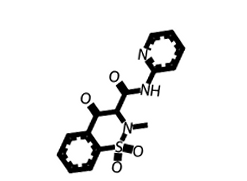 CN1C(C(=O)Nc2ccccn2)C(=O)c2ccccc2S1(=O)=O